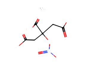 O=C(O)CC(CC(=O)O)(O[N+](=O)[O-])C(=O)O.[Mn]